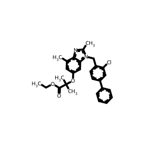 CCOC(=O)C(C)(C)Oc1cc(C)c2nc(C)n(Cc3ccc(-c4ccccc4)cc3Cl)c2c1